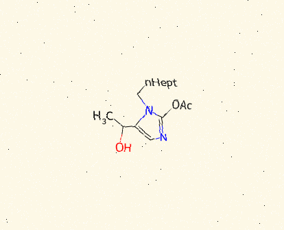 CCCCCCCCn1c(C(C)O)cnc1OC(C)=O